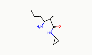 CCC[C@H](N)[C@@H](C)C(=O)NC1CC1